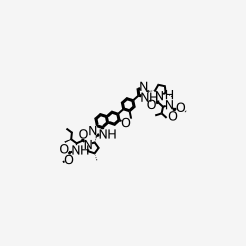 CC[C@H](C)[C@H](NC(=O)OC)C(=O)N1C[C@@H](C)C[C@H]1c1nc2ccc3cc4c(cc3c2[nH]1)OCc1cc(-c2cnc([C@@H]3CC[C@H](C)N3C(=O)C(NC(=O)OC)C(C)C)[nH]2)ccc1-4